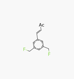 CC(=O)C=Cc1cc(CF)cc(CF)c1